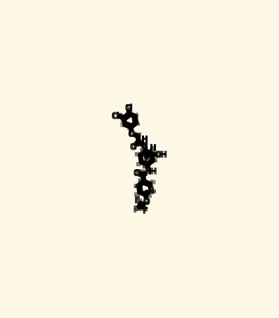 O=C(COc1ccc(Cl)c(Cl)c1)NC12CCC(NC(=O)c3ccc(OC(F)(F)F)nc3)(CC1)C[C@@H]2O